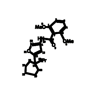 COc1cccc(OC)c1C(=O)Nc1cc(C2(C(C)C)CCCCC2)on1